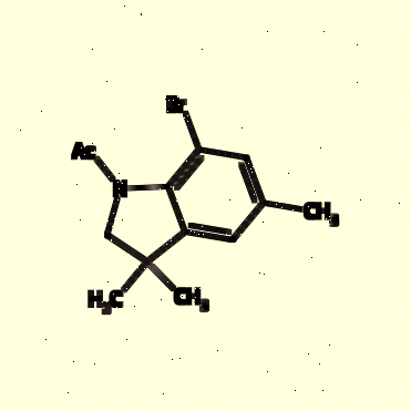 CC(=O)N1CC(C)(C)c2cc(C)cc(Br)c21